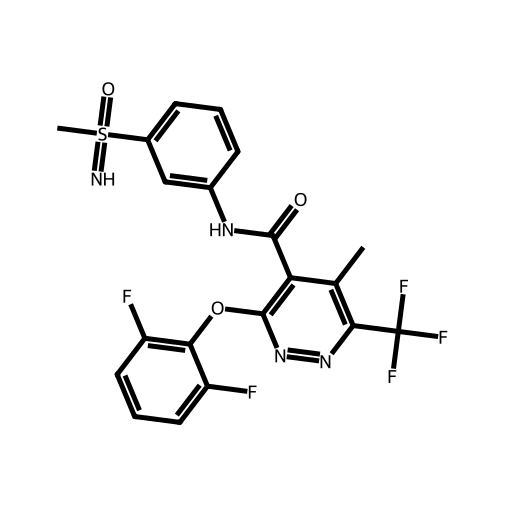 Cc1c(C(F)(F)F)nnc(Oc2c(F)cccc2F)c1C(=O)Nc1cccc(S(C)(=N)=O)c1